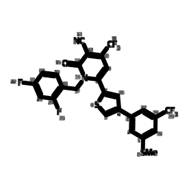 CSc1cc(-c2csc(-c3cc(C(F)(F)F)c(C#N)c(=O)n3Cc3ccc(F)cc3F)c2)cc(C(F)(F)F)c1